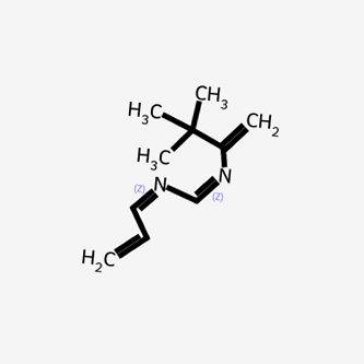 C=C/C=N\C=N/C(=C)C(C)(C)C